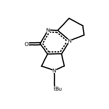 CC(C)(C)N1Cc2c(n3c(nc2=O)CCC3)C1